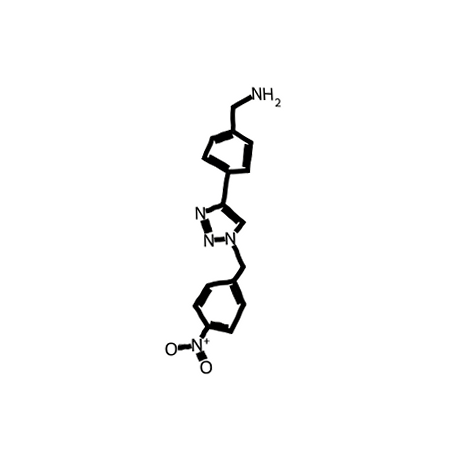 NCc1ccc(-c2cn(Cc3ccc([N+](=O)[O-])cc3)nn2)cc1